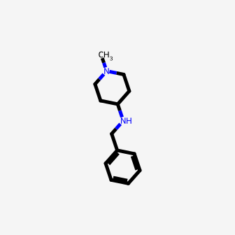 CN1CCC(NCc2ccccc2)CC1